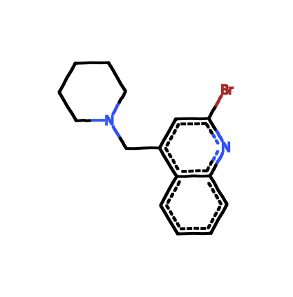 Brc1cc(CN2CCCCC2)c2ccccc2n1